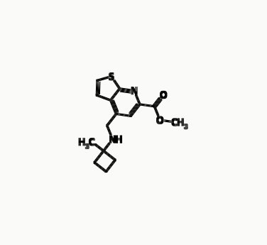 COC(=O)c1cc(CNC2(C)CCC2)c2ccsc2n1